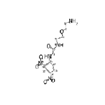 NCCOCCNC(=O)CNc1ccc([N+](=O)[O-])cc1[N+](=O)[O-]